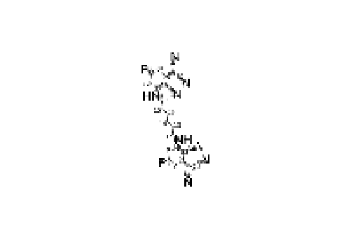 N#CC(C#N)=C1CC(F)CC(NCCCCCCNC2=C(C#N)C(=C(C#N)C#N)CC(F)C2)=C1C#N